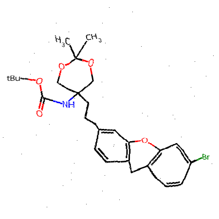 CC(C)(C)OC(=O)NC1(CCc2ccc3c(c2)Oc2cc(Br)ccc2C3)COC(C)(C)OC1